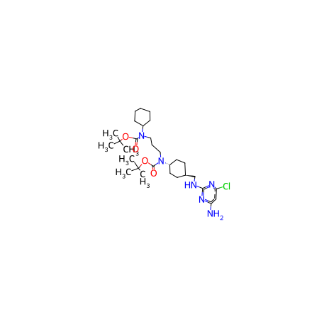 CC(C)(C)OC(=O)N(CCCN(C(=O)OC(C)(C)C)[C@H]1CC[C@H](CNc2nc(N)cc(Cl)n2)CC1)C1CCCCC1